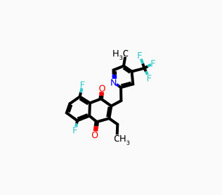 CCC1=C(Cc2cc(C(F)(F)F)c(C)cn2)C(=O)c2c(F)ccc(F)c2C1=O